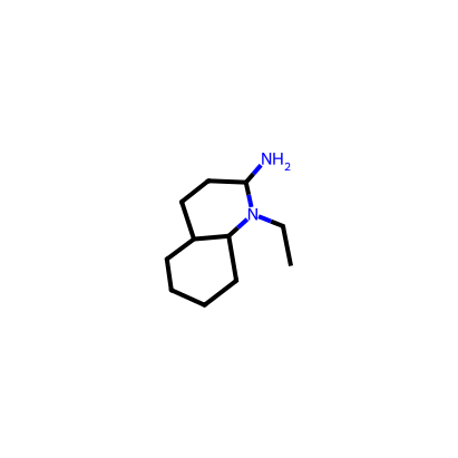 CCN1C(N)CCC2CCCCC21